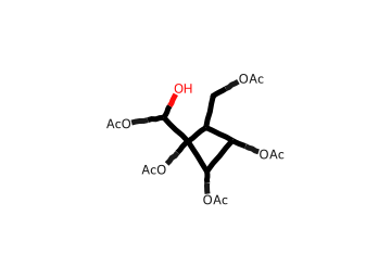 CC(=O)OCC1C(OC(C)=O)C(OC(C)=O)C1(OC(C)=O)C(O)OC(C)=O